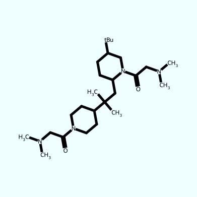 CN(C)CC(=O)N1CCC(C(C)(C)CC2CCC(C(C)(C)C)CN2C(=O)CN(C)C)CC1